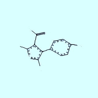 CCc1[nH]c(CC)c(-c2ccc(C#N)cc2)c1C(N)=O